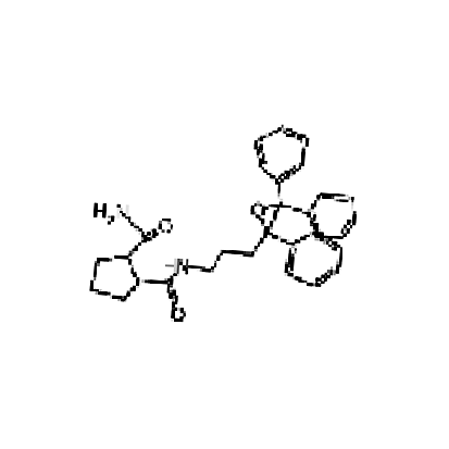 NC(=O)C1CCCC1C(=O)NCCCC1(c2ccccc2)OC1(c1ccccc1)c1ccccc1